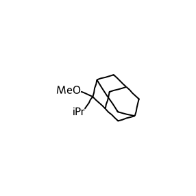 COC1(C(C)C)C2CC3CC(C2)CC1C3